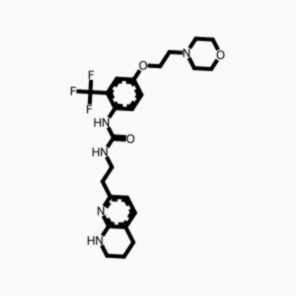 O=C(NCCc1ccc2c(n1)NCCC2)Nc1ccc(OCCN2CCOCC2)cc1C(F)(F)F